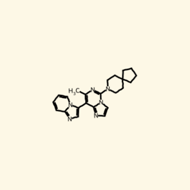 Cc1nc(N2CCC3(CCCC3)CC2)n2ccnc2c1-c1cnc2ccccn12